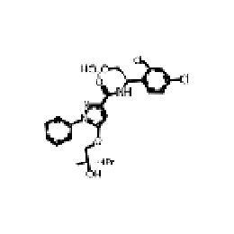 CC(C)[C@@](C)(O)COc1cc(C(=O)N[C@@H](CC(=O)O)c2ccc(Cl)cc2Cl)nn1-c1ccccc1